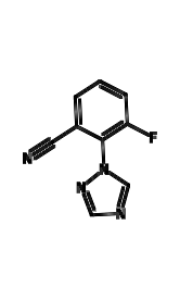 N#Cc1cccc(F)c1-n1cncn1